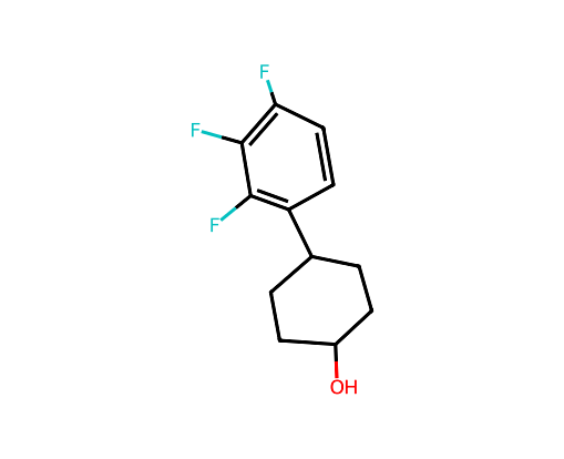 OC1CCC(c2ccc(F)c(F)c2F)CC1